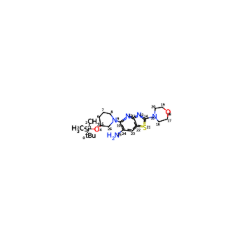 CC(C)(C)[Si](C)(C)O[C@H]1CCCN(c2nc3nc(N4CCOCC4)sc3cc2N)C1